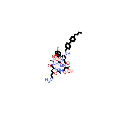 CCCCc1ccc(-c2ccc(CNCC[C@H](NC(C)=O)C(=O)N[C@H](C(=O)N[C@@H](C)C(=O)N[C@@H](CCCCN)C(=O)N[C@@H](C)B3OC4C[C@@H]5C[C@@H](C5(C)C)[C@]4(C)O3)[C@@H](C)O)cc2)cc1